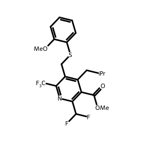 COC(=O)c1c(C(F)F)nc(C(F)(F)F)c(CSc2ccccc2OC)c1CC(C)C